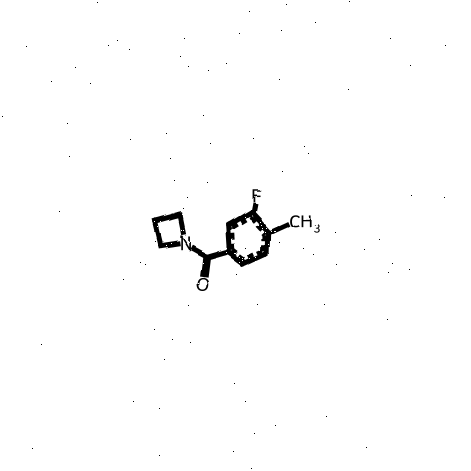 Cc1ccc(C(=O)N2CCC2)cc1F